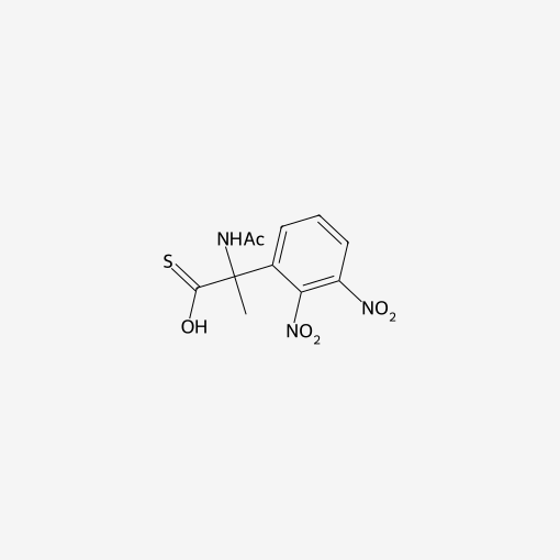 CC(=O)NC(C)(C(O)=S)c1cccc([N+](=O)[O-])c1[N+](=O)[O-]